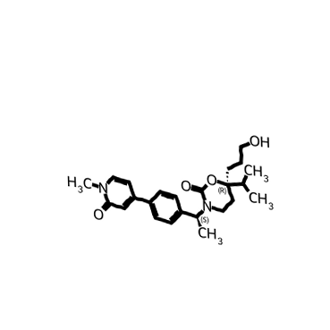 CC(C)[C@@]1(CCCO)CCN([C@@H](C)c2ccc(-c3ccn(C)c(=O)c3)cc2)C(=O)O1